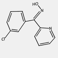 O/N=C(\c1cccc(Cl)c1)c1ccccn1